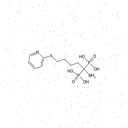 NC(CCCCSc1ccccn1)(P(=O)(O)O)P(=O)(O)O